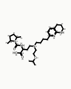 CC(C)OCCN(CCCCc1ccc2c(n1)NCCC2)CCC(NC(=O)N1C(C)CCC1C)C(=O)O